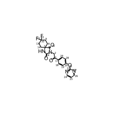 O=C(CN1C(=O)NC2(CCC(F)(F)CC2)C1=O)c1ccc(Oc2ncccn2)cc1